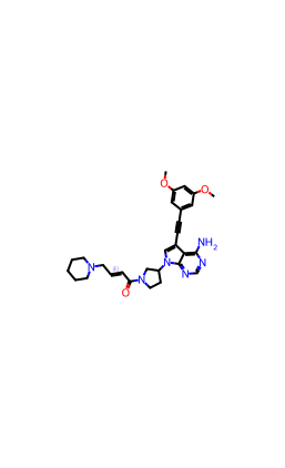 COc1cc(C#Cc2cn(C3CCN(C(=O)/C=C/CN4CCCCC4)C3)c3ncnc(N)c23)cc(OC)c1